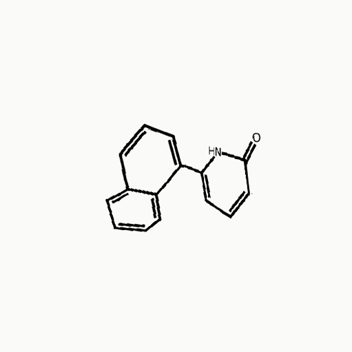 O=c1[c]ccc(-c2cccc3ccccc23)[nH]1